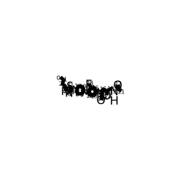 CCCc1nnc(N2CCN(c3ccc(N4CC(CNC(C)=O)OC4=O)cc3F)CC2)s1